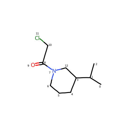 CC(C)C1CCCN(C(=O)CCl)C1